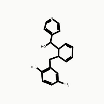 Cc1ccc(C)c(CC2C=CC=CC2C(O)c2ccncc2)c1